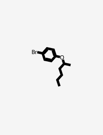 CCCCC(C)Oc1ccc(Br)cc1